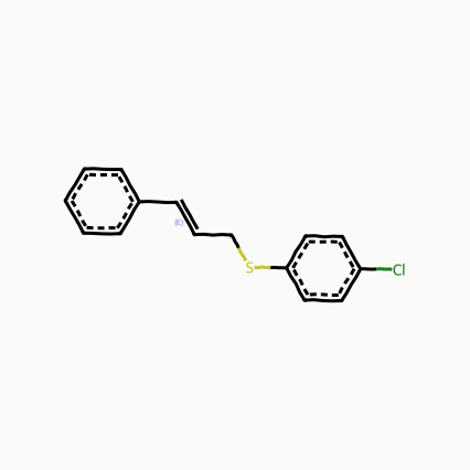 Clc1ccc(SC/C=C/c2ccccc2)cc1